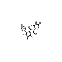 O=C1CCC(N2C(=O)c3c(F)c(F)c(F)c(N4C5CNCC4C5)c3C2=O)C(=O)N1